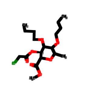 CCCCOC1C(C)OC(C(=O)OC)[C@@H](OC(=O)CCl)C1OCCCC